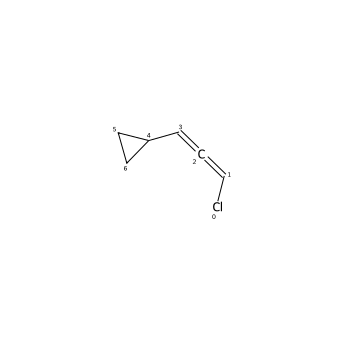 ClC=C=CC1CC1